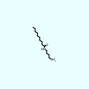 CCCCCCCCCC(=O)NCCCCN